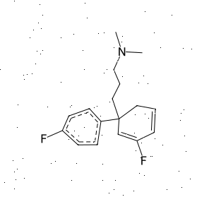 CN(C)CCCC1(c2ccc(F)cc2)C=C(F)C=CC1